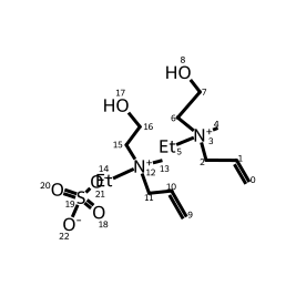 C=CC[N+](C)(CC)CCO.C=CC[N+](C)(CC)CCO.O=S(=O)([O-])[O-]